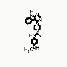 CNc1ccc(NC(=S)N2CCN(c3ncnc4[nH]c5ccccc5c34)CC2)cc1